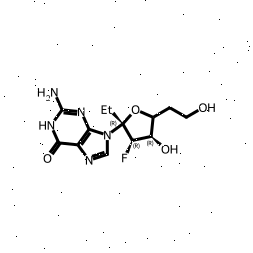 CC[C@@]1(n2cnc3c(=O)[nH]c(N)nc32)OC(CCO)[C@@H](O)[C@H]1F